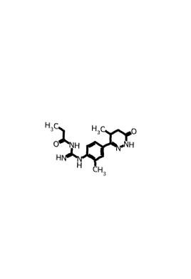 CCC(=O)NC(=N)Nc1ccc(C2=NNC(=O)CC2C)cc1C